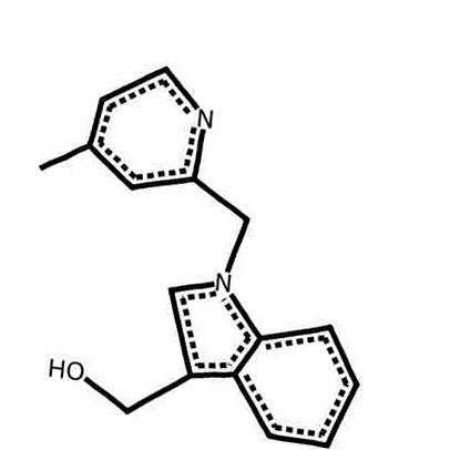 Cc1ccnc(Cn2cc(CO)c3ccccc32)c1